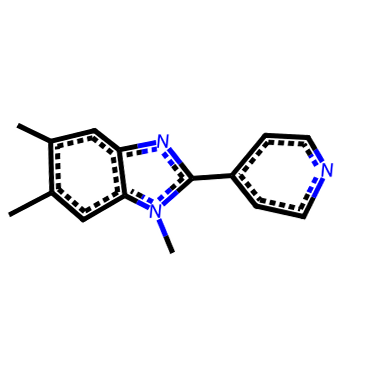 Cc1cc2nc(-c3ccncc3)n(C)c2cc1C